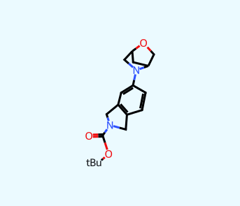 CC(C)(C)OC(=O)N1Cc2ccc(N3CC4CC3CO4)cc2C1